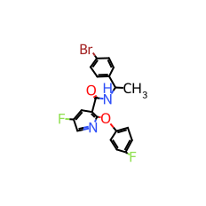 CC(NC(=O)c1cc(F)cnc1Oc1ccc(F)cc1)c1ccc(Br)cc1